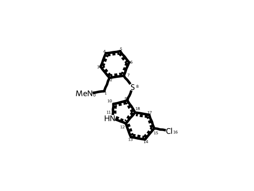 CNCc1ccccc1Sc1c[nH]c2ccc(Cl)cc12